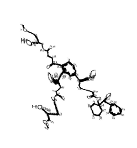 COCC(O)COC(=O)CCC(=O)c1ccc(C(=O)CCC(=O)OC2(C(=O)c3ccccc3)CCCCC2)cc1C(=O)CCC(=O)OCC(O)COC